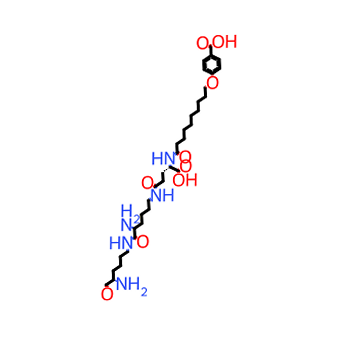 N[C@H](C=O)CCCCNC(=O)[C@@H](N)CCCCNC(=O)CC[C@H](NC(=O)CCCCCCCCCOc1ccc(C(=O)O)cc1)C(=O)O